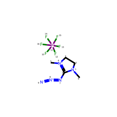 CN1CC[N+](C)=C1N=[N+]=[N-].F[P-](F)(F)(F)(F)F